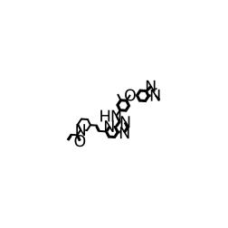 C=CC(=O)N1CCCC(C=Cc2ccc3ncnc(Nc4ccc(Oc5ccc6c(c5)ncn6C)c(C)c4)c3n2)C1